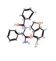 NC(=O)[C@@H](c1ccccc1)N(C(=O)c1ccccc1)[C@@H]1COc2ccc(Cl)cc21